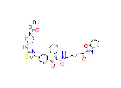 CC(C)(C)OC(=O)N1CCC(Nc2nc(-c3ccc(C(=O)N(C(=O)NCCCCC(=O)c4nc5ccccc5o4)C4CCCCC4)cc3)cs2)CC1